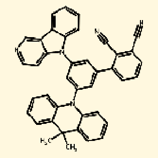 CC1(C)c2ccccc2N(c2cc(-c3cccc(C#N)c3C#N)cc(-n3c4ccccc4c4cnccc43)c2)c2ccccc21